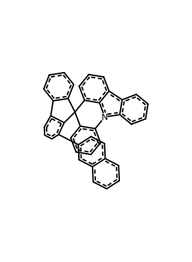 c1ccc2c(c1)-c1cccc(-c3ccc4ccccc4c3)c1C21c2ccccc2-n2c3ccccc3c3cccc1c32